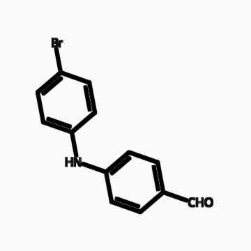 O=Cc1ccc(Nc2ccc(Br)cc2)cc1